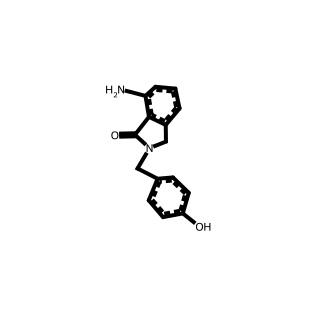 Nc1cccc2c1C(=O)N(Cc1ccc(O)cc1)C2